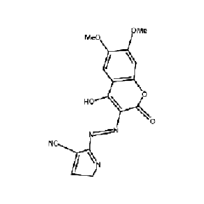 COc1cc2oc(=O)c(N=NC3=NCC=C3C#N)c(O)c2cc1OC